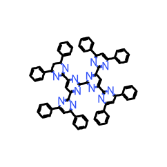 c1ccc(C2=NC(c3cc(-c4nc(-c5ccccc5)cc(-c5ccccc5)n4)nc(-c4nc(-c5nc(-c6ccccc6)cc(-c6ccccc6)n5)cc(-c5nc(-c6ccccc6)cc(-c6ccccc6)n5)n4)n3)=NC(c3ccccc3)C2)cc1